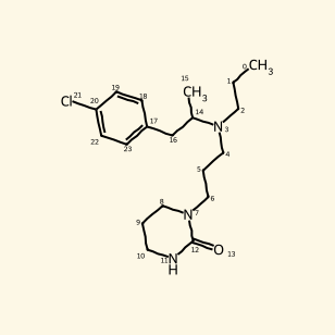 CCCN(CCCN1CCCNC1=O)C(C)Cc1ccc(Cl)cc1